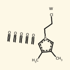 Cc1cp(CCCl)cc1C.[C]=O.[C]=O.[C]=O.[C]=O.[C]=O.[W]